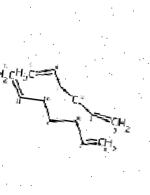 C=CCCC=C.C=CCCCC=C